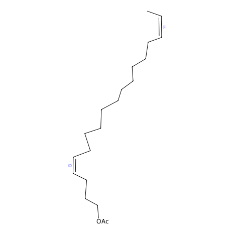 C/C=C\CCCCCCCCCC/C=C\CCCOC(C)=O